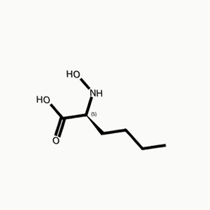 CCCC[C@H](NO)C(=O)O